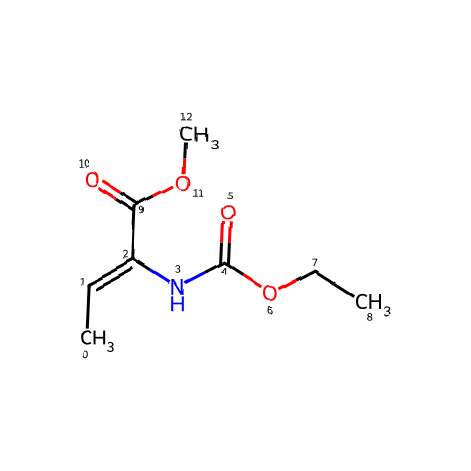 CC=C(NC(=O)OCC)C(=O)OC